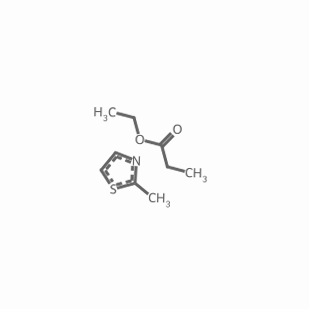 CCOC(=O)CC.Cc1nccs1